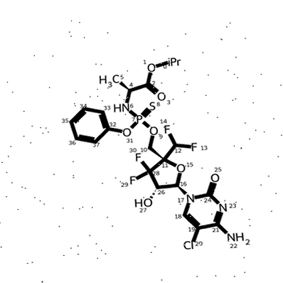 CC(C)OC(=O)[C@H](C)NP(=S)(OC[C@@]1(C(F)F)O[C@@H](n2cc(Cl)c(N)nc2=O)[C@H](O)C1(F)F)Oc1ccccc1